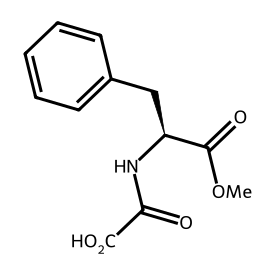 COC(=O)[C@H](Cc1ccccc1)NC(=O)C(=O)O